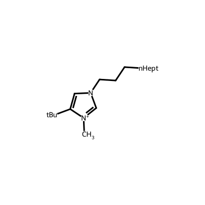 CCCCCCCCCCn1cc(C(C)(C)C)[n+](C)c1